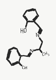 CC(C/N=C/c1ccccc1O)/N=C/c1ccccc1O